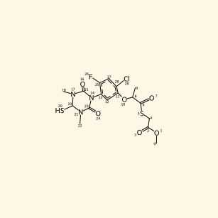 COC(=O)CSC(=O)C(C)Oc1cc(N2C(=O)N(C)C(S)N(C)C2=O)c(F)cc1Cl